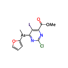 COC(=O)c1nc(Cl)nc([As](C)c2ccco2)c1I